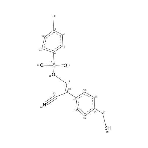 Cc1ccc(S(=O)(=O)ON=C(C#N)c2ccc(CS)cc2)cc1